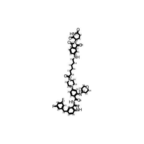 O=C1CCC(N2C(=O)c3ccc(NCCCCCCC(=O)N4CCN(c5ccc(C(=O)Nc6n[nH]c7ccc(Cc8cc(F)cc(F)c8)cc67)c(NC6CCOCC6)c5)CC4)cc3C2=O)C(=O)N1